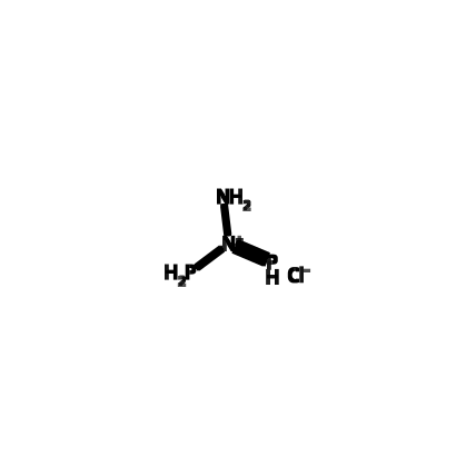 N[N+](=P)P.[Cl-]